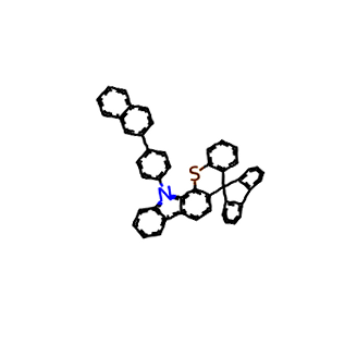 c1ccc2c(c1)Sc1c(ccc3c4ccccc4n(-c4ccc(-c5ccc6ccccc6c5)cc4)c13)C21c2ccccc2-c2ccccc21